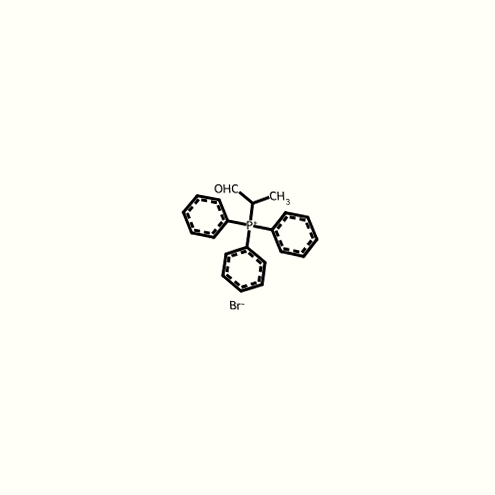 CC(C=O)[P+](c1ccccc1)(c1ccccc1)c1ccccc1.[Br-]